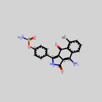 N#Cc1cccc2c1C(=O)C1=C(c3ccc(OS(N)=O)cc3)NC(=O)C1=C2N